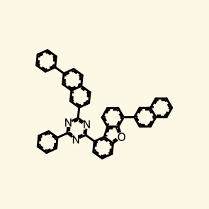 c1ccc(-c2ccc3ccc(-c4nc(-c5ccccc5)nc(-c5cccc6oc7c(-c8ccc9ccccc9c8)cccc7c56)n4)cc3c2)cc1